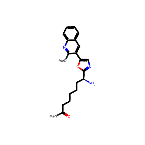 CNC(=O)CCCCC[C@H](N)c1ncc(-c2cc3ccccc3nc2OC)o1